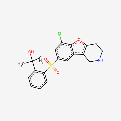 CC(C)(O)c1ccccc1S(=O)(=O)c1cc(Cl)c2oc3c(c2c1)CNCC3